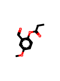 C[CH]C(=O)Oc1ccc(OC)cc1C=O